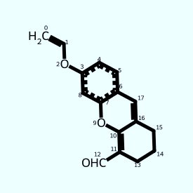 C=COc1ccc2c(c1)OC1=C(C=O)CCCC1=C2